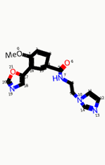 COc1ccc(C(=O)NCCn2ccnc2)cc1-c1cnco1